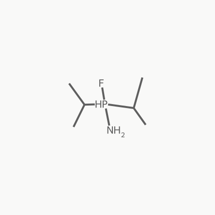 CC(C)[PH](N)(F)C(C)C